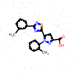 Cc1cccc(-c2nsc(-c3cc(C(=O)O)nn3-c3ccccc3C)n2)c1